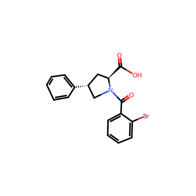 O=C(O)[C@@H]1C[C@@H](c2ccccc2)CN1C(=O)c1ccccc1Br